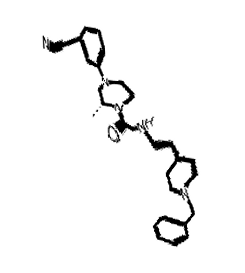 C[C@@H]1CN(c2cccc(C#N)c2)CCN1C(=O)NCCC1CCN(Cc2ccccc2)CC1